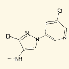 CNc1cn(-c2cncc(Cl)c2)nc1Cl